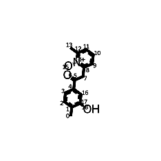 Cc1ccc(C(=O)Cc2cccc(C)[n+]2[O-])cc1O